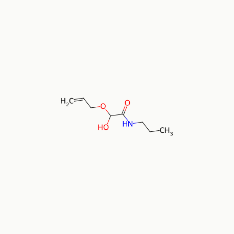 C=CCOC(O)C(=O)NCCC